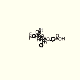 CCN1C[C@@H](NC(=O)Nc2c(C)c(OCC3CCN(C(=O)CO)CC3)nn2-c2ccccc2)[C@H](c2ccc(F)c(F)c2)O1